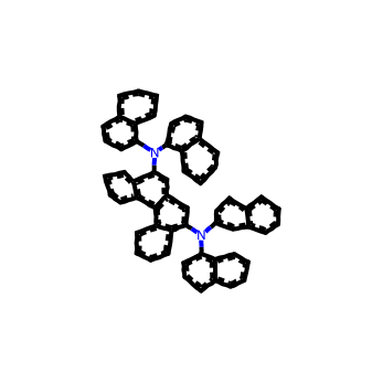 c1ccc2cc(N(c3cccc4ccccc34)c3cc4cc(N(c5cccc6ccccc56)c5cccc6ccccc56)c5ccccc5c4c4ccccc34)ccc2c1